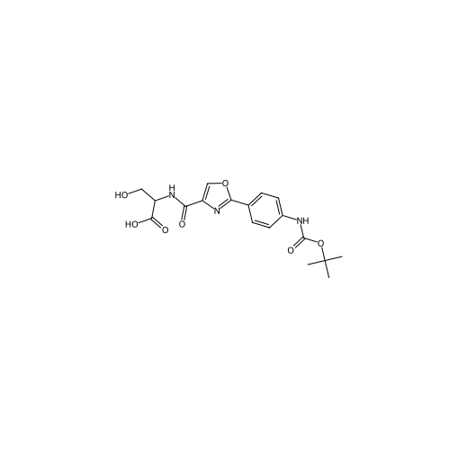 CC(C)(C)OC(=O)Nc1ccc(-c2nc(C(=O)NC(CO)C(=O)O)co2)cc1